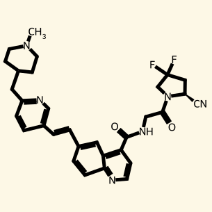 CN1CCC(Cc2ccc(/C=C/c3ccc4nccc(C(=O)NCC(=O)N5CC(F)(F)C[C@H]5C#N)c4c3)cn2)CC1